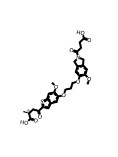 COc1cc2c(cc1OCCCOc1cc3cc(C(=O)C[C@H](C)C(=O)O)sc3cc1OC)CN(C(=O)CCC(=O)O)C2